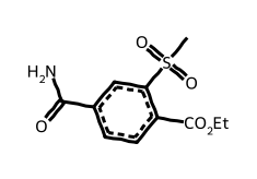 CCOC(=O)c1ccc(C(N)=O)cc1S(C)(=O)=O